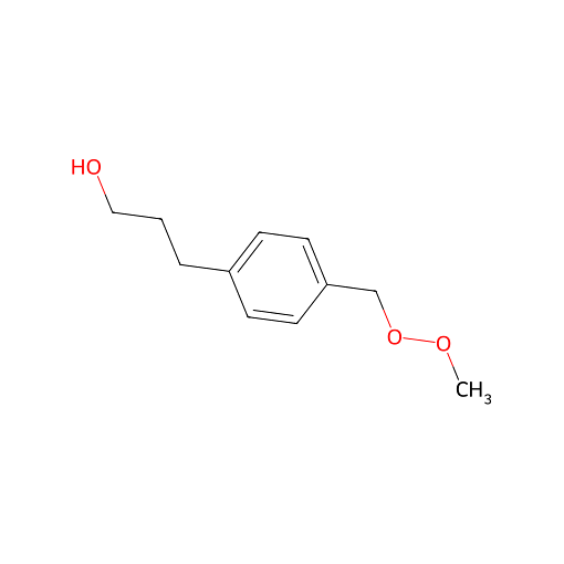 COOCc1ccc(CCCO)cc1